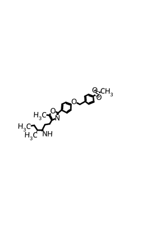 CC[C@@H](C)C(=N)CCc1nc(-c2ccc(OCc3ccc(S(C)(=O)=O)cc3)cc2)oc1C